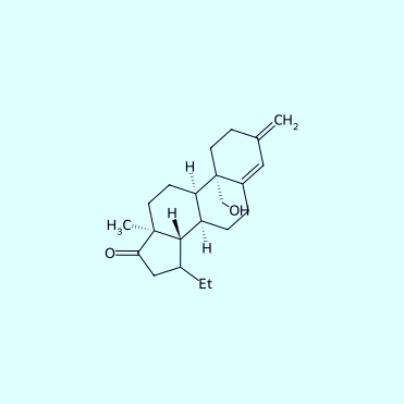 C=C1C=C2CC[C@@H]3[C@@H](CC[C@]4(C)C(=O)CC(CC)[C@@H]34)[C@@]2(CO)CC1